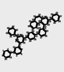 c1ccc(-c2cccc(-c3cc(-c4ccc(-c5cccc(-c6cc(-c7ccccc7)nc7ccc8ccccc8c67)c5)cc4)nc(-c4ccccc4)n3)c2)cc1